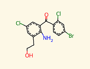 Nc1c(CCO)cc(Cl)cc1C(=O)c1ccc(Br)cc1Cl